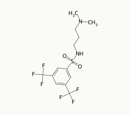 CN(C)CCCNS(=O)(=O)c1cc(C(F)(F)F)cc(C(F)(F)F)c1